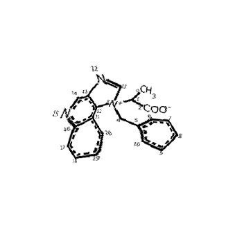 CC(C(=O)[O-])[N+]1(Cc2ccccc2)C=Nc2cnc3ccccc3c21